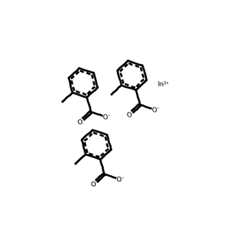 Cc1ccccc1C(=O)[O-].Cc1ccccc1C(=O)[O-].Cc1ccccc1C(=O)[O-].[In+3]